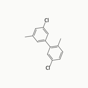 Cc1cc(Cl)cc(-c2cc(Cl)ccc2C)c1